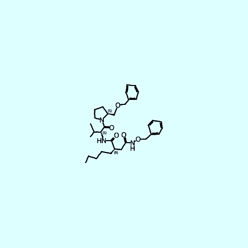 CCCCC[C@H](CC(=O)NOCc1ccccc1)C(=O)N[C@H](C(=O)N1CCC[C@H]1COCc1ccccc1)C(C)C